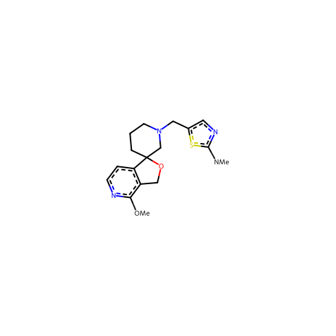 CNc1ncc(CN2CCCC3(C2)OCc2c3ccnc2OC)s1